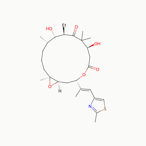 CC[C@H]1C(=O)C(C)(C)[C@@H](O)CC(=O)O[C@H](C(C)=Cc2csc(C)n2)C[C@H]2O[C@@]2(C)CCC[C@H](C)[C@@H]1O